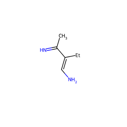 CC/C(=C\N)C(C)=N